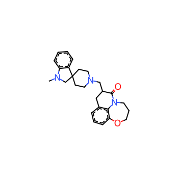 CN1CC2(CCN(CC3Cc4cccc5c4N(CCCO5)C3=O)CC2)c2ccccc21